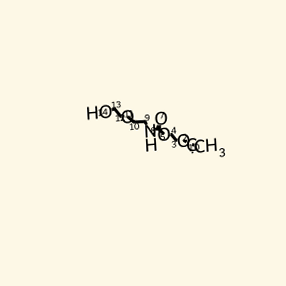 C[CH]OCCOC(=O)NCCOCCO